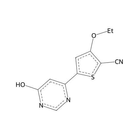 CCOc1cc(-c2cc(O)ncn2)sc1C#N